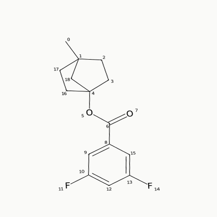 CC12CCC(OC(=O)c3cc(F)cc(F)c3)(CC1)C2